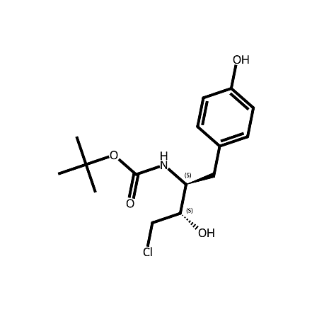 CC(C)(C)OC(=O)N[C@@H](Cc1ccc(O)cc1)[C@H](O)CCl